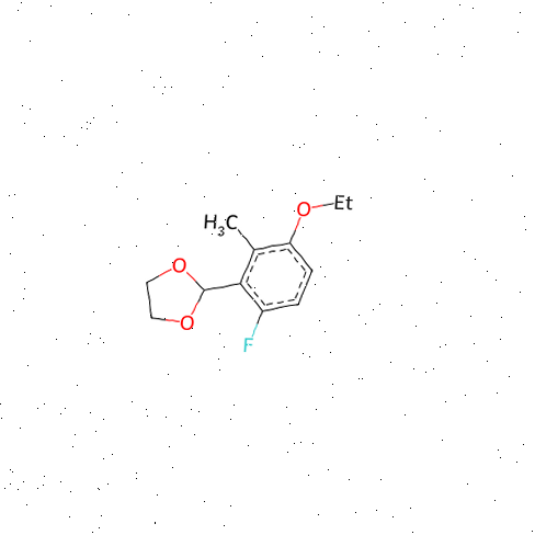 [CH2]COc1ccc(F)c(C2OCCO2)c1C